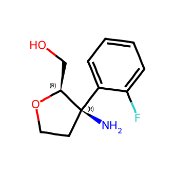 N[C@@]1(c2ccccc2F)CCO[C@H]1CO